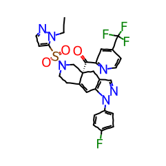 CCn1nccc1S(=O)(=O)N1CCC2=Cc3c(cnn3-c3ccc(F)cc3)C[C@]2(C(=O)c2cc(C(F)(F)F)ccn2)C1